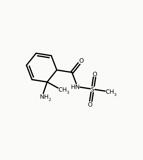 CC1(N)C=CC=CC1C(=O)NS(C)(=O)=O